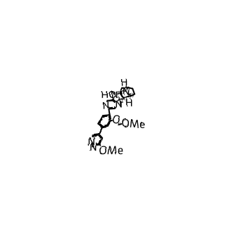 COCOc1cc(-c2cnnc(OC)c2)ccc1-c1cnc(N(C)[C@@H]2C[C@H]3CC[C@@H]([C@@H]2F)N3C(=O)O)cn1